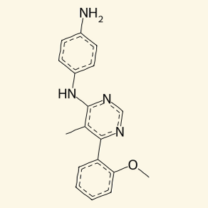 COc1ccccc1-c1ncnc(Nc2ccc(N)cc2)c1C